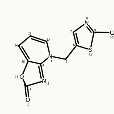 O=c1nc2n(Cc3cnc(Cl)s3)cccc-2o1